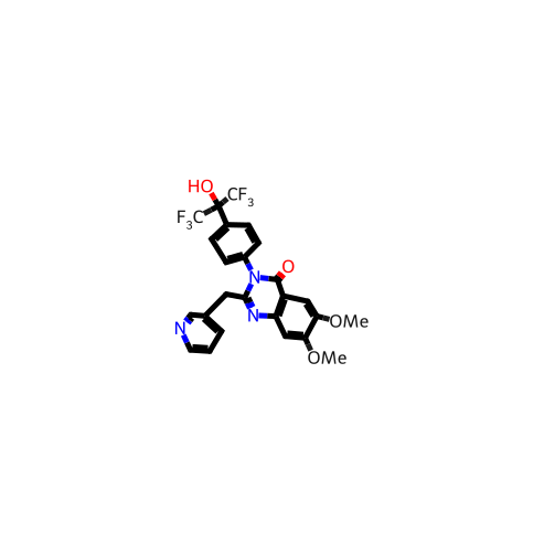 COc1cc2nc(Cc3cccnc3)n(-c3ccc(C(O)(C(F)(F)F)C(F)(F)F)cc3)c(=O)c2cc1OC